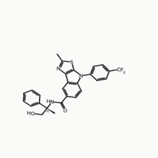 Cc1nc2c3cc(C(=O)N[C@](C)(CO)c4ccccc4)ccc3n(-c3ccc(C(F)(F)F)cc3)c2s1